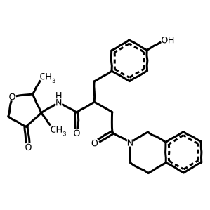 CC1OCC(=O)C1(C)NC(=O)C(CC(=O)N1CCc2ccccc2C1)Cc1ccc(O)cc1